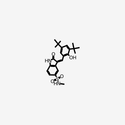 CNS(=O)(=O)c1ccc2c(c1)C(=Cc1cc(C(C)(C)C)cc(C(C)(C)C)c1O)C(=O)N2